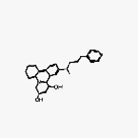 CC(CCCc1ccccc1)C1=CC2C(=C3CCCCC3N3CC(O)CC(O)C23)C=C1